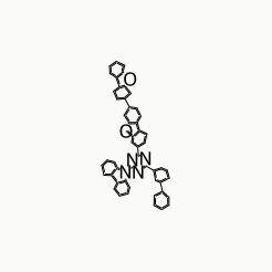 c1ccc(-c2cccc(-c3nc(-c4ccc5c(c4)oc4cc(-c6ccc7c(c6)oc6ccccc67)ccc45)nc(-n4c5ccccc5c5ccccc54)n3)c2)cc1